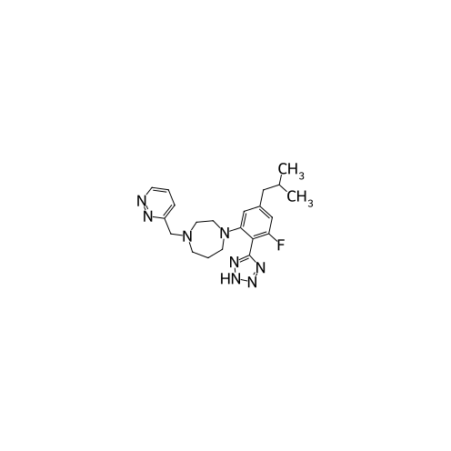 CC(C)Cc1cc(F)c(-c2nn[nH]n2)c(N2CCCN(Cc3cccnn3)CC2)c1